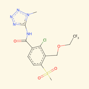 Cn1nnnc1NC(=O)c1ccc(S(C)(=O)=O)c(COCC(F)(F)F)c1Cl